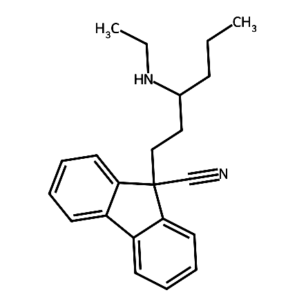 CCCC(CCC1(C#N)c2ccccc2-c2ccccc21)NCC